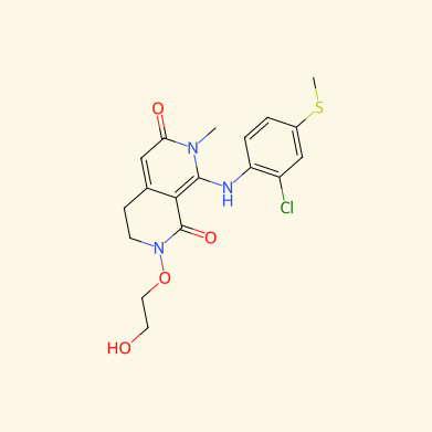 CSc1ccc(Nc2c3c(cc(=O)n2C)CCN(OCCO)C3=O)c(Cl)c1